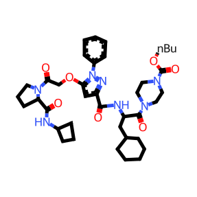 CCCCOC(=O)N1CCN(C(=O)C(CC2CCCCC2)NC(=O)c2cc(OCC(=O)N3CCCC3C(=O)NC3CCC3)n(-c3ccccc3)n2)CC1